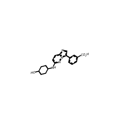 O=C(O)c1cccc(-c2cnc3ccc(NC4CCC(O)CC4)nn23)c1